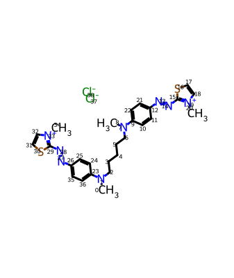 CN(CCCCCN(C)c1ccc(N=Nc2scc[n+]2C)cc1)c1ccc(N=Nc2scc[n+]2C)cc1.[Cl-].[Cl-]